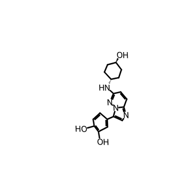 Oc1ccc(-c2cnc3ccc(N[C@H]4CC[C@H](O)CC4)nn23)cc1O